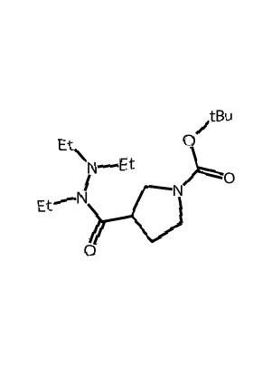 CCN(CC)N(CC)C(=O)C1CCN(C(=O)OC(C)(C)C)C1